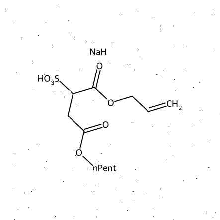 C=CCOC(=O)C(CC(=O)OCCCCC)S(=O)(=O)O.[NaH]